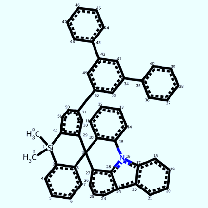 C[Si]1(C)c2ccccc2C2(c3ccccc3-n3c4ccccc4c4cccc2c43)c2cc(-c3cc(-c4ccccc4)cc(-c4ccccc4)c3)ccc21